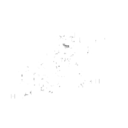 CCOC(=O)CC1CCN([N+]2(CC(C)(COC(C)=O)COC(C)=O)C(=O)CO[C@H](c3cccc(OC)c3OC)c3cc(Cl)ccc32)C[C@@H]1C(C)=O